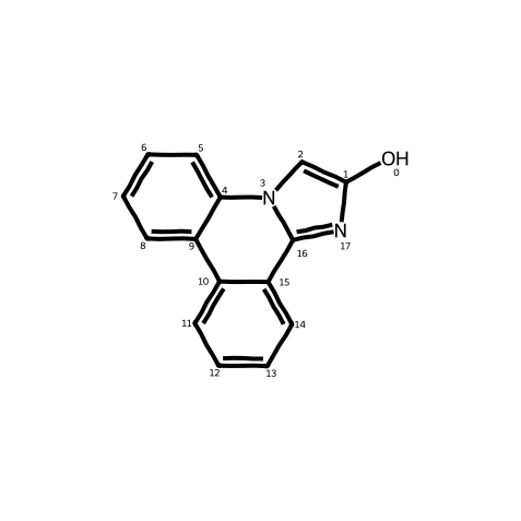 Oc1cn2c3ccccc3c3ccccc3c2n1